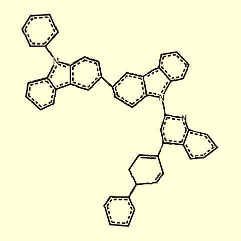 C1=CC(c2ccccc2)CC=C1c1cc(-n2c3ccccc3c3cc(-c4ccc5c(c4)c4ccccc4n5-c4ccccc4)ccc32)nc2ccccc12